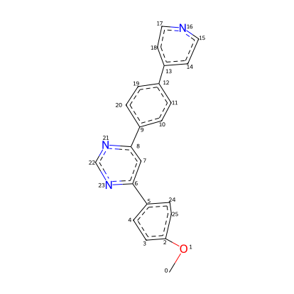 COc1ccc(-c2cc(-c3ccc(-c4ccncc4)cc3)ncn2)cc1